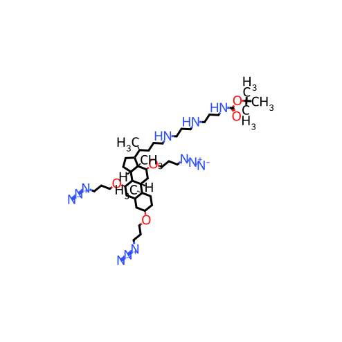 C[C@H](CCCNCCCNCCCNC(=O)OC(C)(C)C)C1CC[C@H]2C3[C@H](OCCCN=[N+]=[N-])CC4C[C@H](OCCCN=[N+]=[N-])CC[C@]4(C)[C@H]3C[C@H](OCCCN=[N+]=[N-])[C@]12C